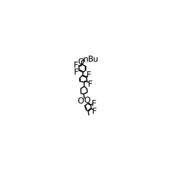 CCCCOc1ccc(-c2ccc(C3CCC(C(=O)Oc4ccc(C)c(F)c4F)CC3)c(F)c2F)c(F)c1F